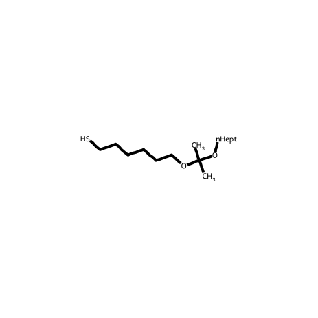 CCCCCCCOC(C)(C)OCCCCCCS